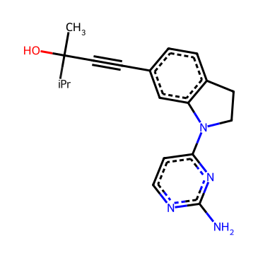 CC(C)C(C)(O)C#Cc1ccc2c(c1)N(c1ccnc(N)n1)CC2